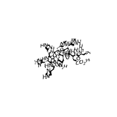 CC(C)C[C@H](N)C(=O)N[C@@H](CCC(=O)O)C(=O)N[C@@H](Cc1c[nH]cn1)C(=O)N[C@@H](Cc1c[nH]cn1)C(=O)N[C@@H](Cc1c[nH]cn1)C(=O)N[C@@H](Cc1c[nH]cn1)C(=O)N[C@@H](Cc1c[nH]cn1)C(=O)N[C@@H](Cc1c[nH]cn1)C(=O)O